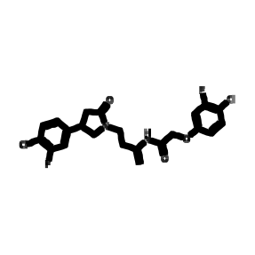 C=C(CCN1CC(c2ccc(Cl)c(F)c2)CC1=O)NC(=O)COc1ccc(Cl)c(F)c1